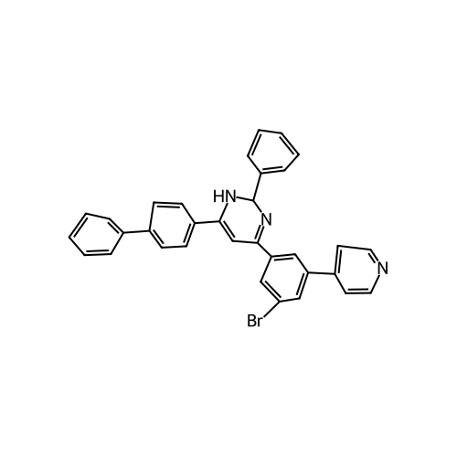 Brc1cc(C2=NC(c3ccccc3)NC(c3ccc(-c4ccccc4)cc3)=C2)cc(-c2ccncc2)c1